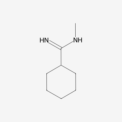 CNC(=N)C1CCCCC1